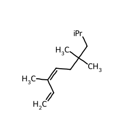 C=CC(C)=CCC(C)(C)CC(C)C